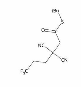 CC(C)(C)SC(=O)CC(C#N)(C#N)CCC(F)(F)F